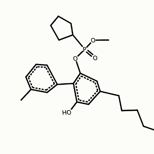 CCCCCc1cc(O)c(-c2cccc(C)c2)c(OP(=O)(OC)C2CCCC2)c1